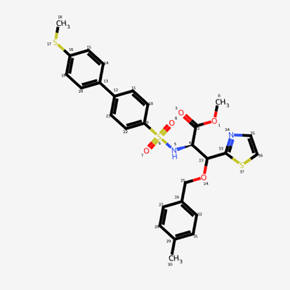 COC(=O)[C@H](NS(=O)(=O)c1ccc(-c2ccc(SC)cc2)cc1)C(OCc1ccc(C)cc1)c1nccs1